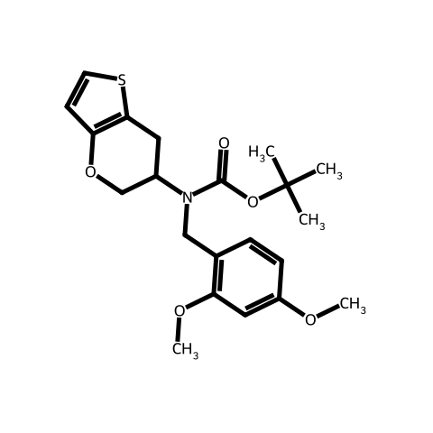 COc1ccc(CN(C(=O)OC(C)(C)C)C2COc3ccsc3C2)c(OC)c1